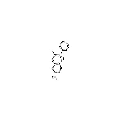 Cc1cc2cc(C(F)(F)F)ccc2nc1-c1ccccc1